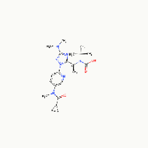 C[C@@H](c1nc(N(C)C)nn1-c1ccc(N(C)C(=O)C2CC2)cn1)N(C(=O)O)C(C)(C)C